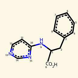 O=C(O)C(Cc1ccccc1)Nc1ccncn1